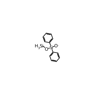 [O][Si](O[SiH3])(c1ccccc1)c1ccccc1